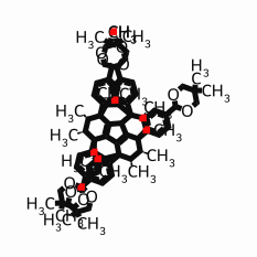 C[C@@H]1[C@H](C)C2(c3ccc(C4OCC(C)(C)CO4)cc3)C3=C4C5=C6C3C(c3ccc(C7COC(C)(C)OC7)cc3)([C@H](C)[C@H](C)C6(c3ccc(C6OCC(C)(C)CO6)cc3)[C@H](C)[C@H](C)C5(c3ccc(C5OCC(C)(C)CO5)cc3)[C@H](C)[C@H](C)C41c1ccc(C3OCC(C)(C)CO3)cc1)[C@@H](C)[C@H]2C